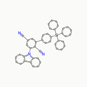 N#Cc1cc(-c2ccc([Si](c3ccccc3)(c3ccccc3)c3ccccc3)cc2)c(C#N)c(-n2c3ccccc3c3ccccc32)c1